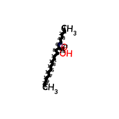 CCCCC/C=C/C(CCCCCCCCCCCCCC)C(=O)O